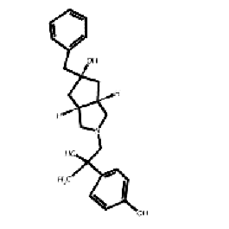 CC(O)(CN1C[C@@H]2C[C@](O)(Cc3ccccc3)C[C@@H]2C1)c1ccc(O)cc1